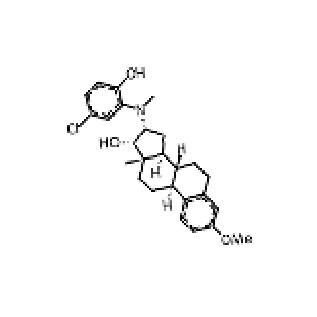 COc1ccc2c(c1)CC[C@@H]1[C@@H]2CC[C@]2(C)[C@H](O)[C@H](N(C)c3cc(Cl)ccc3O)C[C@@H]12